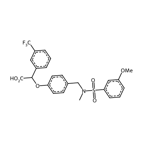 COc1cccc(S(=O)(=O)N(C)Cc2ccc(OC(C(=O)O)c3cccc(C(F)(F)F)c3)cc2)c1